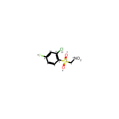 O=[N+]([O-])CS(=O)(=O)c1ccc(F)cc1Cl